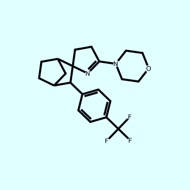 FC(F)(F)c1ccc(C2C3CCC(C3)C23CCC(N2CCOCC2)=N3)cc1